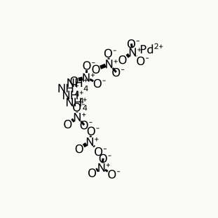 O=[N+]([O-])[O-].O=[N+]([O-])[O-].O=[N+]([O-])[O-].O=[N+]([O-])[O-].O=[N+]([O-])[O-].O=[N+]([O-])[O-].[NH4+].[NH4+].[NH4+].[NH4+].[Pd+2]